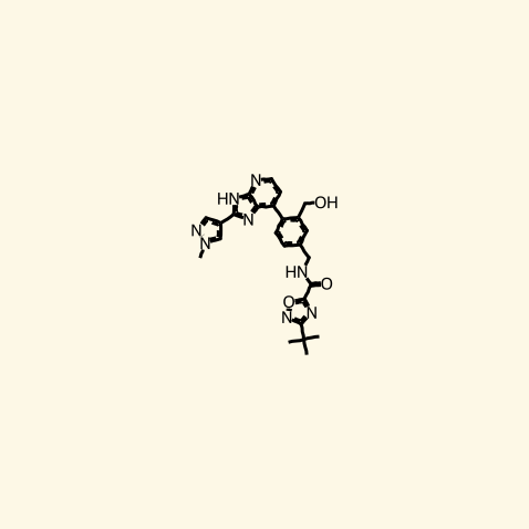 Cn1cc(-c2nc3c(-c4ccc(CNC(=O)c5nc(C(C)(C)C)no5)cc4CO)ccnc3[nH]2)cn1